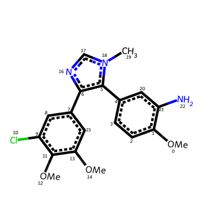 COc1ccc(-c2c(-c3cc(Cl)c(OC)c(OC)c3)ncn2C)cc1N